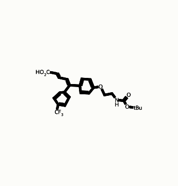 CC(C)(C)OC(=O)NCCOc1ccc(/C(=C/C=C/C(=O)O)c2ccc(C(F)(F)F)cc2)cc1